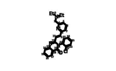 CCN(CC)Cc1cccc(C=Cc2nc3ccccc3c(=O)n2-c2ccccc2Cl)n1